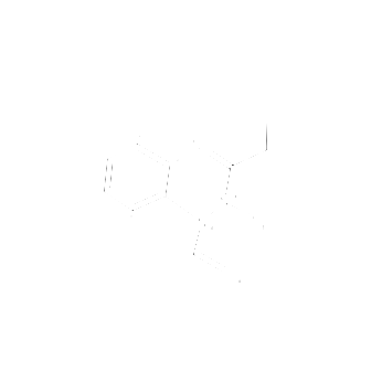 CCC(=O)N(C)N([C]=O)c1ccccc1